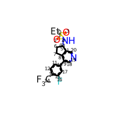 CCS(=O)(=O)N[C@@H]1CCc2c(-c3ccc(C(F)(F)F)c(F)c3)cncc21